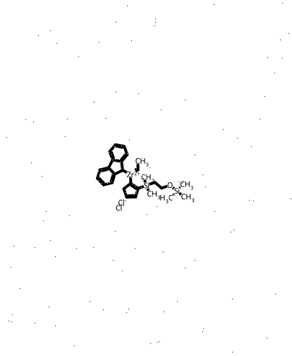 C[CH]=[Zr+2]([C]1=C([Si](C)(C)CCO[Si](C)(C)C)C=CC1)[CH]1c2ccccc2-c2ccccc21.[Cl-].[Cl-]